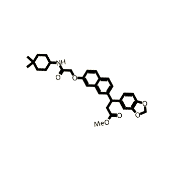 COC(=O)CC(c1ccc2c(c1)OCO2)c1ccc2ccc(OCC(=O)NC3CCC(C)(C)CC3)cc2c1